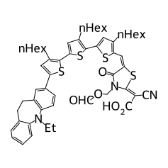 CCCCCCc1cc(-c2sc(-c3sc(-c4ccc5c(c4)CCc4ccccc4N5CC)cc3CCCCCC)cc2CCCCCC)sc1/C=c1/s/c(=C(\C#N)C(=O)O)n(COC=O)c1=O